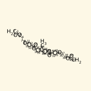 C=CC(=O)OCCCCOc1ccc(C(=O)Oc2ccc3c(c2)C(C)c2cc(OC(=O)c4ccc(OCCCCOC(=O)C=C)cc4)ccc2-3)cc1